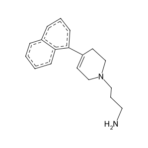 NCCCN1CC=C(c2cccc3ccccc23)CC1